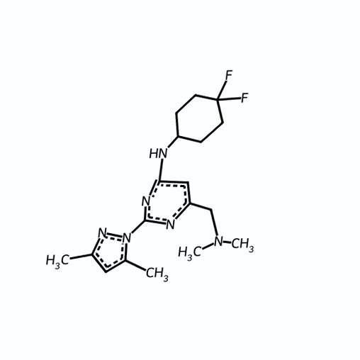 Cc1cc(C)n(-c2nc(CN(C)C)cc(NC3CCC(F)(F)CC3)n2)n1